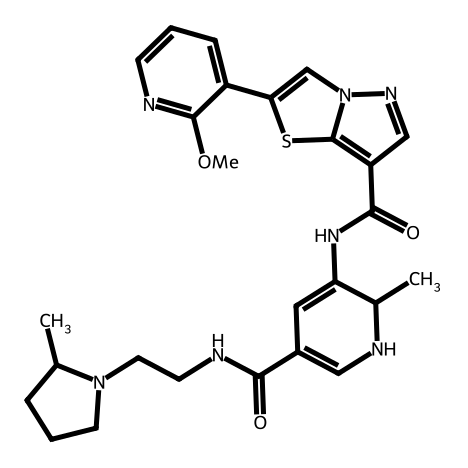 COc1ncccc1-c1cn2ncc(C(=O)NC3=CC(C(=O)NCCN4CCCC4C)=CNC3C)c2s1